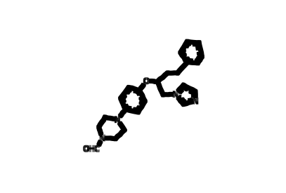 O=CN1CCN(c2ccc(OC(CCc3ccccc3)Cn3ccnc3)cc2)CC1